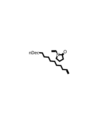 C=CCCCCCCCCCCCCCCCCCC.C=CN1CCCC1=O